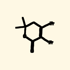 CC(C)C1=C(C(C)C)C(=O)OC(C)(C)C1